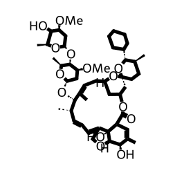 CO[C@H]1C[C@H](O[C@H]2[C@H](C)O[C@@H](O[C@@H]3/C(C)=C/C[C@@H]4CC(C[C@]5(CC[C@H](C)[C@@H](C6CCCCC6)O5)O4)OC(=O)C4C=C(C)[C@@H](O)[C@H]5OC/C(=C\C=C\[C@@H]3C)[C@@]45O)C[C@@H]2OC)O[C@@H](C)C1O